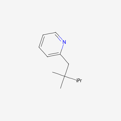 CC(C)C(C)(C)Cc1ccccn1